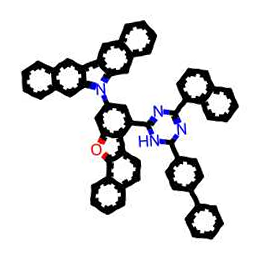 c1ccc(-c2ccc(C3N=C(c4cccc5ccccc45)N=C(c4cc(-n5c6cc7ccccc7cc6c6cc7ccccc7cc65)cc5oc6c7ccccc7ccc6c45)N3)cc2)cc1